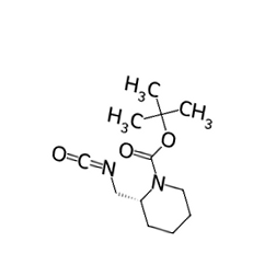 CC(C)(C)OC(=O)N1CCCC[C@@H]1CN=C=O